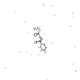 CCC(=O)/N=[N+](\[O-])c1ccccc1